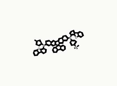 Cc1ccc(N(c2ccc3cc4c(cc3c2)C2(c3ccccc3-c3ccccc32)c2cc3cc(N(c5ccc([Si](C)(C)C)cc5)c5cccc6c5oc5ccccc56)ccc3cc2-4)c2cccc3c2oc2ccccc23)cc1